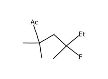 CCC(C)(F)CC(C)(C)C(C)=O